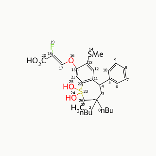 CCCCC1(CCCC)CC(c2ccccc2)c2cc(SC)c(OC=C(F)C(=O)O)cc2S(O)(O)C1C